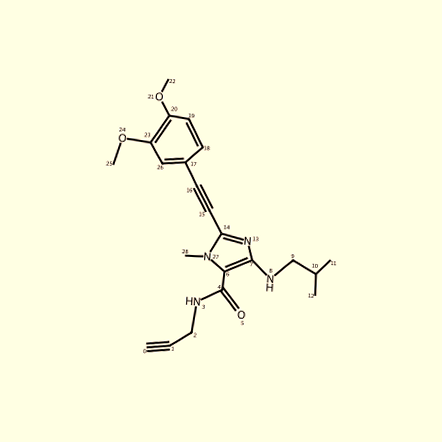 C#CCNC(=O)c1c(NCC(C)C)nc(C#Cc2ccc(OC)c(OC)c2)n1C